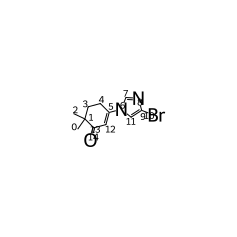 CC1(C)CCC(n2cnc(Br)c2)=CC1=O